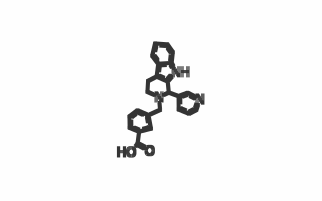 O=C(O)c1cccc(CN2CCc3c([nH]c4ccccc34)C2c2cccnc2)c1